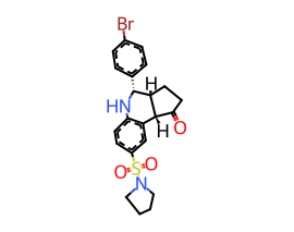 O=C1CC[C@H]2[C@@H](c3ccc(Br)cc3)Nc3ccc(S(=O)(=O)N4CCCC4)cc3[C@@H]12